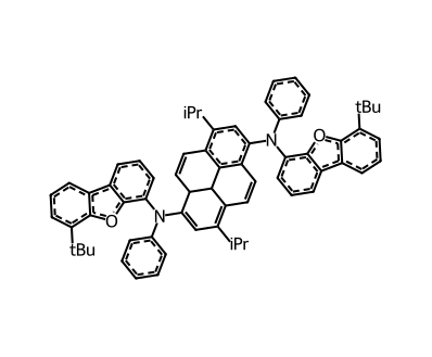 CC(C)C1=C2C=Cc3c(N(c4ccccc4)c4cccc5c4oc4c(C(C)(C)C)cccc45)cc(C(C)C)c4c3C2C(C=C4)C(N(c2ccccc2)c2cccc3c2oc2c(C(C)(C)C)cccc23)=C1